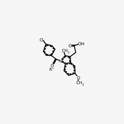 COc1ccc2c(c1)c(CC(=O)O)c(C)n2C(=O)c1ccc(Cl)cc1.[K+]